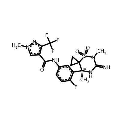 CN1C(=N)N[C@](C)(c2cc(NC(=O)c3cn(C)nc3C(F)(F)F)ccc2F)C2(CC2)S1(=O)=O